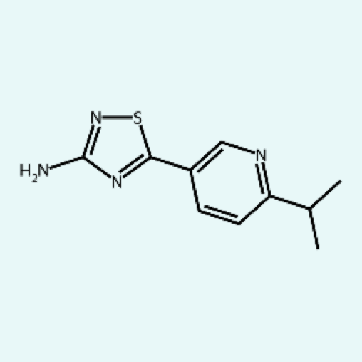 CC(C)c1ccc(-c2nc(N)ns2)cn1